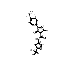 CC1=NN(c2ccc(OC(F)(F)F)cc2)C(=O)C1C(=O)Nc1csc(C(C)(F)F)c1